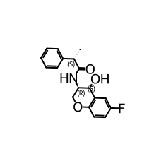 C[C@H](C(=O)N[C@@H]1COc2ccc(F)cc2[C@@H]1O)c1ccccc1